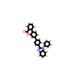 O=c1oc2cc(-c3ccc(-c4nc5ccccc5n4-c4ccccc4)cc3)ccc2c2ccccc12